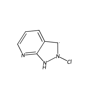 ClN1[CH]c2cccnc2N1